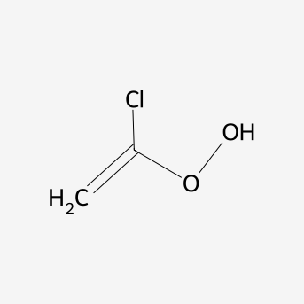 C=C(Cl)OO